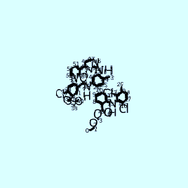 CCOCOC(=O)c1ccccc1Nc1c(Cl)ccc(C)c1Cl.Cc1ccc(NC(=O)c2ccc(Cl)c(S(C)(=O)=O)c2)cc1Nc1nccc(-c2cccnc2)n1